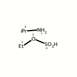 CC(C)N.CCOS(=O)(=O)O